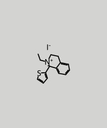 CC[N+]1=C(c2cccs2)c2ccccc2CC1.[I-]